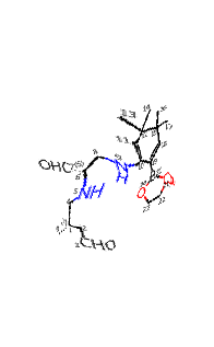 C[C@@H]([CH]C=O)CN[C@H](C=O)CNC1=CC(C)(C)C(C)(C)C=C1B1OCCO1